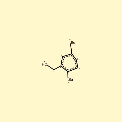 CC(C)(C)c1ccc(C(C)(C)C)c(CO)c1